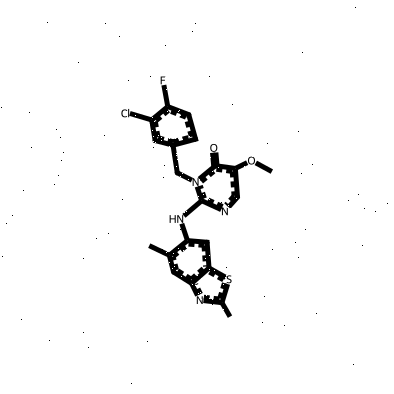 COc1cnc(Nc2cc3sc(C)nc3cc2C)n(Cc2ccc(F)c(Cl)c2)c1=O